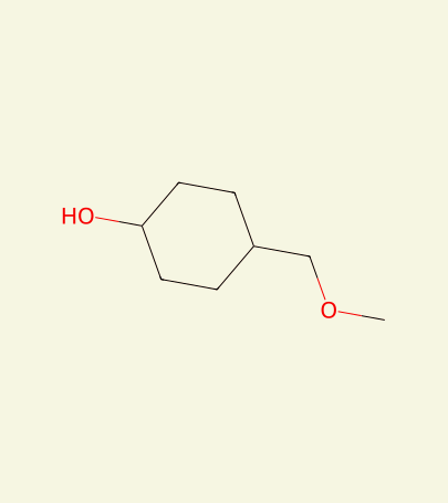 COCC1CCC(O)CC1